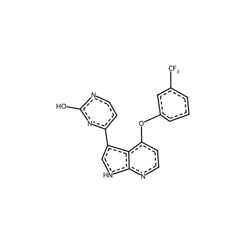 Oc1nccc(-c2c[nH]c3nccc(Oc4cccc(C(F)(F)F)c4)c23)n1